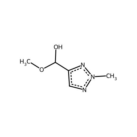 COC(O)c1cnn(C)n1